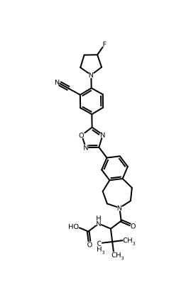 CC(C)(C)C(NC(=O)O)C(=O)N1CCc2ccc(-c3noc(-c4ccc(N5CCC(F)C5)c(C#N)c4)n3)cc2CC1